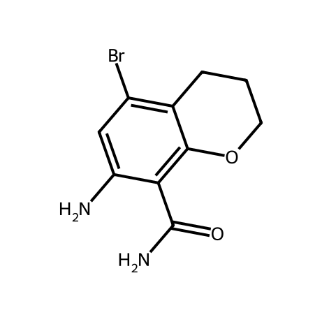 NC(=O)c1c(N)cc(Br)c2c1OCCC2